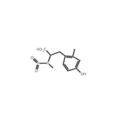 Cc1cc(O)ccc1CC(C(=O)O)N(C)P(=O)=O